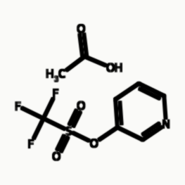 CC(=O)O.O=S(=O)(Oc1cccnc1)C(F)(F)F